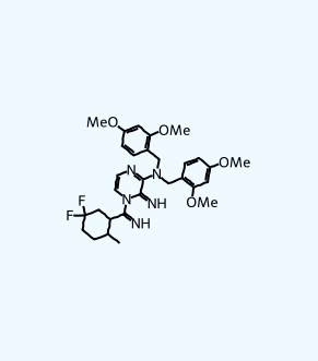 COc1ccc(CN(Cc2ccc(OC)cc2OC)c2nccn(C(=N)C3CC(F)(F)CCC3C)c2=N)c(OC)c1